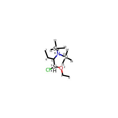 CCO[SiH](Cl)C(CC)N([Si](C)(C)C)[Si](C)(C)C